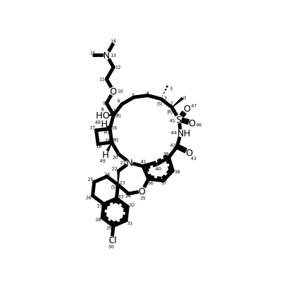 C[C@@H]1[C@@H](C)CCC[C@](O)(COCCN(C)C)[C@@H]2CC[C@H]2CN2C[C@@]3(CCCc4cc(Cl)ccc43)COc3ccc(cc32)C(=O)NS1(=O)=O